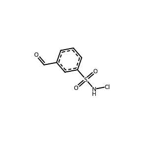 O=Cc1cccc(S(=O)(=O)NCl)c1